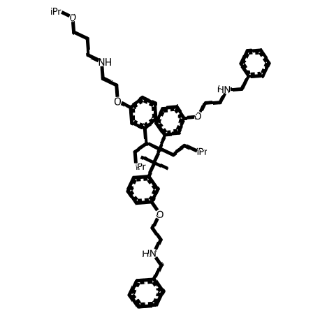 CC(C)CCC([C](CC(C)C)c1cccc(OCCNCCCOC(C)C)c1)(c1cccc(OCCNCc2ccccc2)c1)C(C)(C)c1cccc(OCCNCc2ccccc2)c1